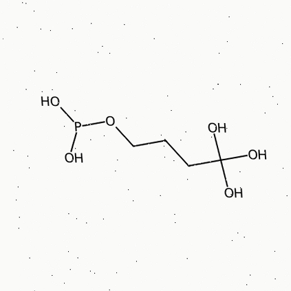 OP(O)OCCCC(O)(O)O